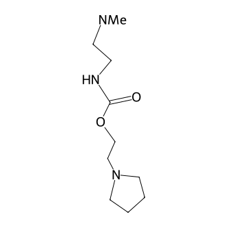 CNCCNC(=O)OCCN1CCCC1